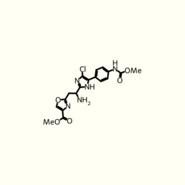 COC(=O)Nc1ccc(-c2[nH]c(C(N)Cc3nc(C(=O)OC)co3)nc2Cl)cc1